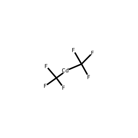 F[C](F)(F)[Cd][C](F)(F)F